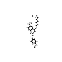 CCCCCCCCCCC(COc1ccc(C=O)cc1)Oc1ccc(C=O)cc1